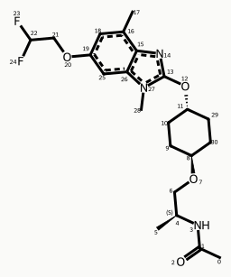 CC(=O)N[C@@H](C)CO[C@H]1CC[C@H](Oc2nc3c(C)cc(OCC(F)F)cc3n2C)CC1